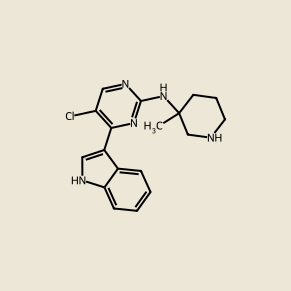 CC1(Nc2ncc(Cl)c(-c3c[nH]c4ccccc34)n2)CCCNC1